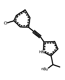 CCCCC(C)c1ccc(C#Cc2cccc(Cl)c2)[nH]1